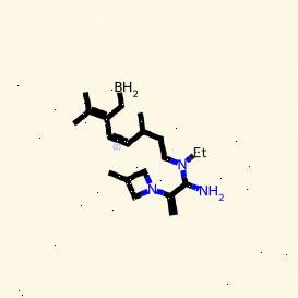 BCC(/C=C\C(C)CCN(CC)C(N)C(=C)N1CC(C)C1)=C(C)C